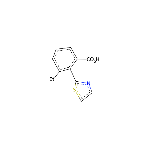 CCc1cccc(C(=O)O)c1-c1nccs1